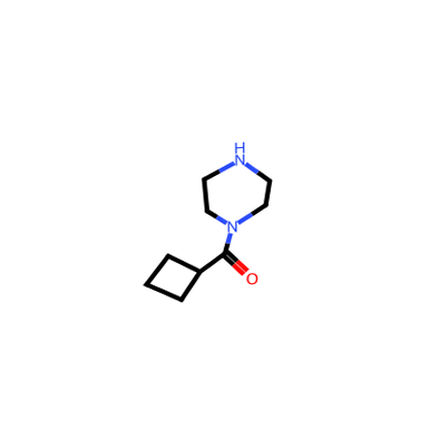 O=C(C1CCC1)N1CCNCC1